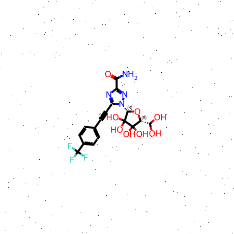 NC(=O)c1nc(C#Cc2ccc(C(F)(F)F)cc2)n([C@@H]2O[C@H](C(O)O)C(O)(O)C2(O)O)n1